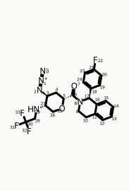 [N-]=[N+]=N[C@H]1C[C@H](C(=O)N2CCc3ccccc3[C@@H]2c2ccc(F)cc2)OC[C@@H]1NCC(F)(F)F